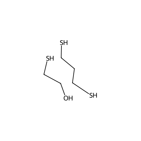 OCCS.SCCCS